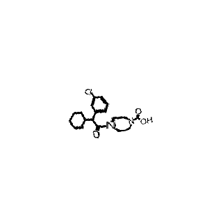 O=C(O)N1CCN(C(=O)C(c2cccc(Cl)c2)C2CCCCC2)CC1